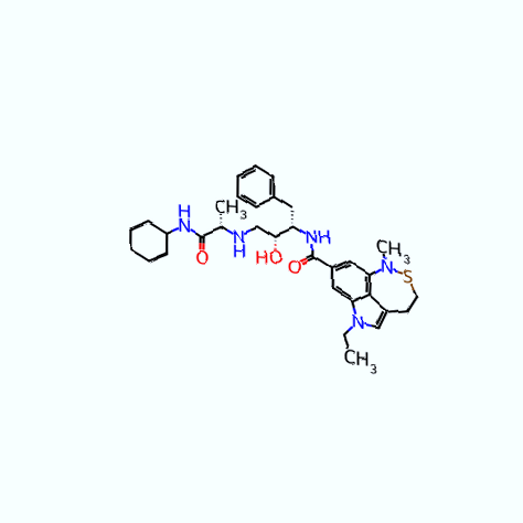 CCn1cc2c3c(cc(C(=O)N[C@@H](Cc4ccccc4)[C@H](O)CN[C@@H](C)C(=O)NC4CCCCC4)cc31)N(C)SCC2